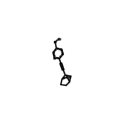 CC(C)Oc1ccc(C#CC2CC3CCC2N3)nc1